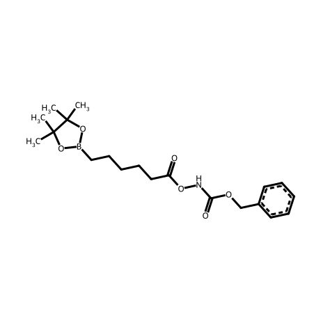 CC1(C)OB(CCCCCC(=O)ONC(=O)OCc2ccccc2)OC1(C)C